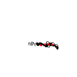 C=CC(=C)OCCCOc1ccc(C(=O)Oc2ccc(CCC3CCC(C4CCC(CCC)CC4)CC3)cc2)cc1